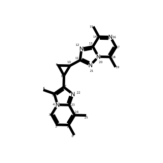 Cc1ccn2c(C)c(C3CC3c3nc4c(C)ncc(C)n4n3)nc2c1C